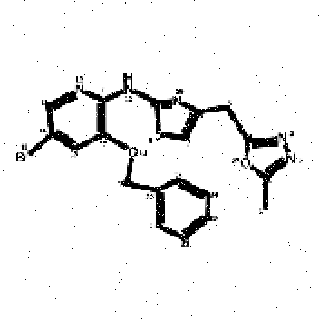 Cc1nnc(Cc2csc(Nc3ncc(Br)cc3OCc3ccccc3)n2)o1